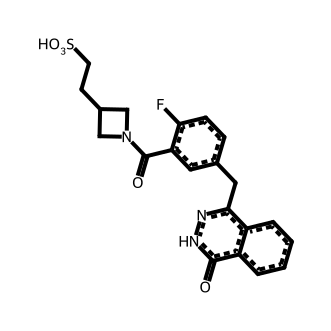 O=C(c1cc(Cc2n[nH]c(=O)c3ccccc23)ccc1F)N1CC(CCS(=O)(=O)O)C1